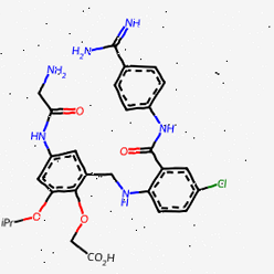 CC(C)Oc1cc(NC(=O)CN)cc(CNc2ccc(Cl)cc2C(=O)Nc2ccc(C(=N)N)cc2)c1OCC(=O)O